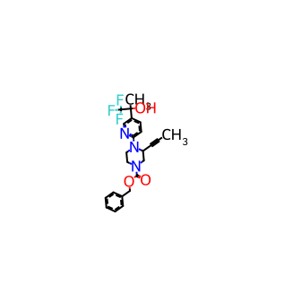 CC#CC1CN(C(=O)OCc2ccccc2)CCN1c1ccc(C(C)(O)C(F)(F)F)cn1